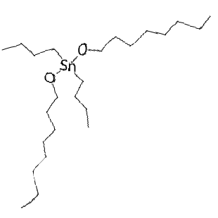 CCCCCCCC[O][Sn]([CH2]CCC)([CH2]CCC)[O]CCCCCCCC